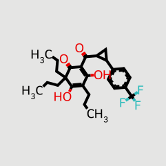 CCCC1=C(O)C(CCC)(CCC)C(=O)C(C(=O)C2CC2c2ccc(C(F)(F)F)cc2)=C1O